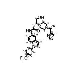 O=C(C[C@H](CO)N1CCN(C(=O)c2cscn2)CC1)Nc1ccc2c(ccn2-c2ncc(C(F)(F)F)cn2)c1